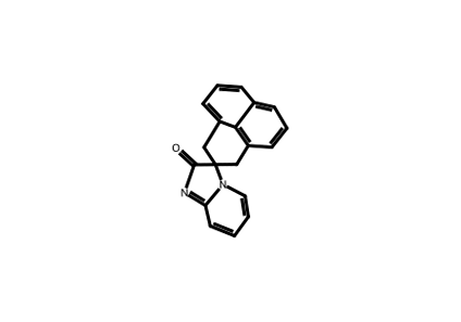 O=C1N=C2C=CC=CN2C12Cc1cccc3cccc(c13)C2